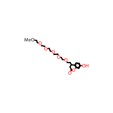 COCCOCCOCCOCCOCCOCCC1CC(=O)Oc2cc(O)ccc21